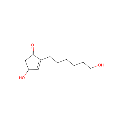 O=C1CC(O)C=C1CCCCCCO